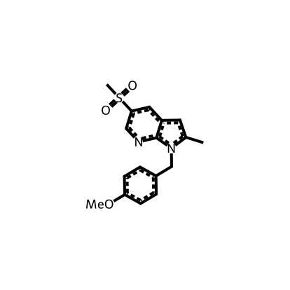 COc1ccc(Cn2c(C)cc3cc(S(C)(=O)=O)cnc32)cc1